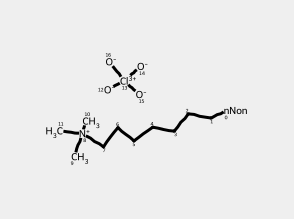 CCCCCCCCCCCCCCCC[N+](C)(C)C.[O-][Cl+3]([O-])([O-])[O-]